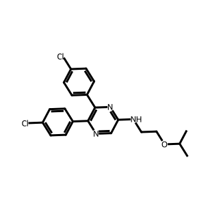 CC(C)OCCNc1cnc(-c2ccc(Cl)cc2)c(-c2ccc(Cl)cc2)n1